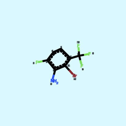 Nc1c(F)ccc(C(F)(F)F)c1Br